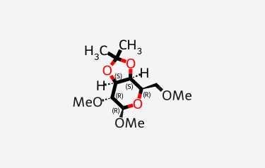 COC[C@H]1O[C@@H](OC)[C@H](OC)[C@H]2OC(C)(C)O[C@H]21